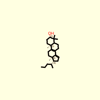 CCCC(C)[C@H]1CC=C2C3=C(CC[C@@]21C)[C@@]1(C)CC[C@H](O)C(C)(C)C1CC3